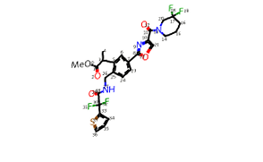 COC(=O)C(C)c1cc(-c2nc(C(=O)N3CCCC(F)(F)C3)co2)ccc1CNC(=O)C(F)(F)c1cccs1